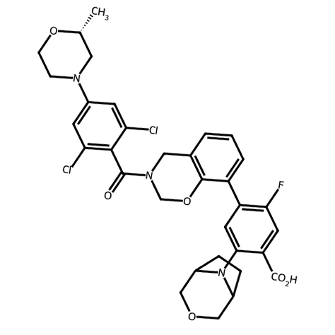 C[C@@H]1CN(c2cc(Cl)c(C(=O)N3COc4c(cccc4-c4cc(N5C6CCC5COC6)c(C(=O)O)cc4F)C3)c(Cl)c2)CCO1